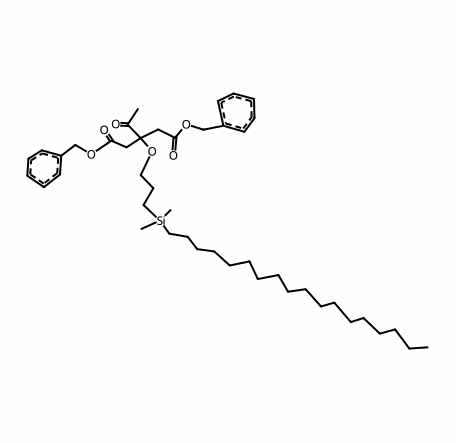 CCCCCCCCCCCCCCCCCC[Si](C)(C)CCCOC(CC(=O)OCc1ccccc1)(CC(=O)OCc1ccccc1)C(C)=O